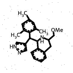 COCC1Cc2ccccc2C(C(c2cn[nH]c2)c2c(C)cc(C)cc2C)N1